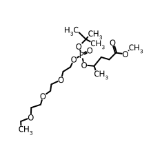 CCOCCOCCOCCOP(=O)(OC(C)CCC(=O)OC)OC(C)(C)C